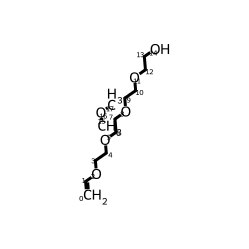 C=COCCOCCOCCOCCO.COC